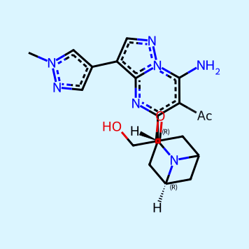 CC(=O)c1c([C@@H]2CC3C[C@@H](C2)N3C(=O)CO)nc2c(-c3cnn(C)c3)cnn2c1N